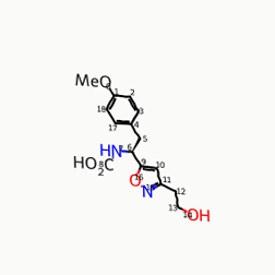 COc1ccc(C[C@H](NC(=O)O)c2cc(CCO)no2)cc1